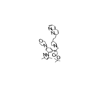 Cc1cc(C)n(-c2cc([C@@H](CC(=O)OC(C)(C)C)CN3CCC(CCc4ccc5cccnc5n4)C3)cc(N3CCOCC3)c2)n1